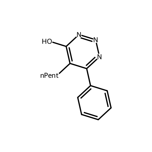 CCCCCc1c(O)nnnc1-c1ccccc1